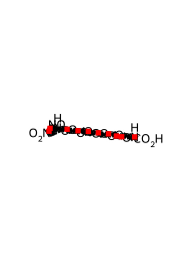 O=C(O)NCCOCCOCCOCCOCCOCCOCCOCCOCCOCCNc1ccc([N+](=O)[O-])cc1[N+](=O)[O-]